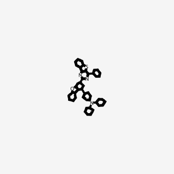 c1ccc(-c2nc(-c3cc(-c4ccc(N(c5ccccc5)c5ccccc5)cc4)c4c(c3)oc3ccccc34)nc3c2sc2ccccc23)cc1